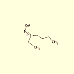 CCCC/C(CC)=N\O